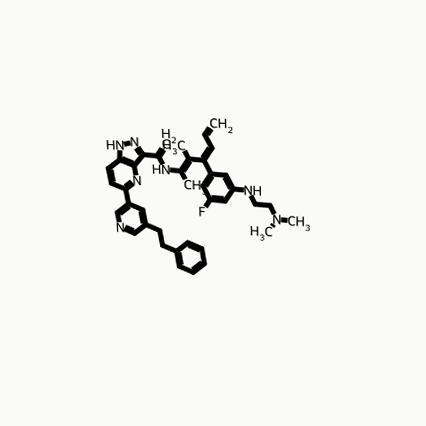 C=C/C=C(\C(C)=C(/C)NC(=C)c1n[nH]c2ccc(-c3cncc(CCc4ccccc4)c3)nc12)c1cc(F)cc(NCCN(C)C)c1